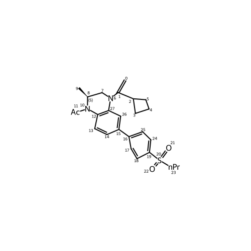 C=C(C1CCC1)N1C[C@H](C)N(C(C)=O)c2ccc(-c3ccc(S(=O)(=O)CCC)cc3)cc21